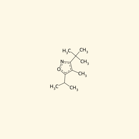 Cc1c(C(C)(C)C)noc1C(C)C